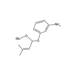 CC(C)=CC(Oc1cccc(N)c1)OC(C)(C)C